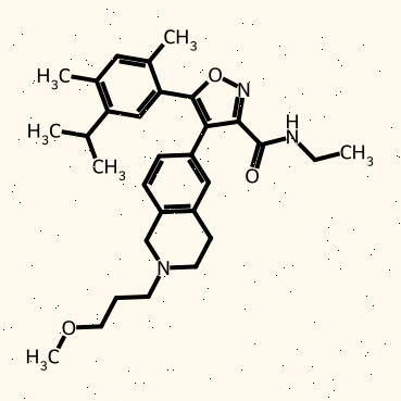 CCNC(=O)c1noc(-c2cc(C(C)C)c(C)cc2C)c1-c1ccc2c(c1)CCN(CCCOC)C2